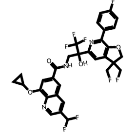 O=C(NCC(O)(c1cc2c(c(-c3ccc(F)cc3)n1)OCC2(CF)CF)C(F)(F)F)c1cc(OC2CC2)c2ncc(C(F)F)cc2c1